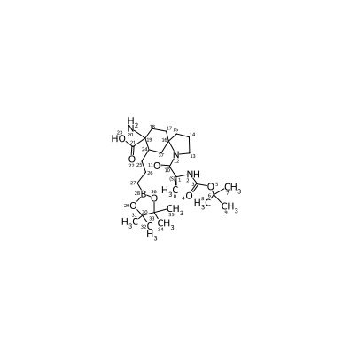 C[C@H](NC(=O)OC(C)(C)C)C(=O)N1CCCC12CCC(N)(C(=O)O)C(CCCB1OC(C)(C)C(C)(C)O1)C2